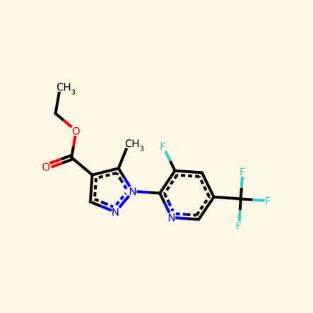 CCOC(=O)c1cnn(-c2ncc(C(F)(F)F)cc2F)c1C